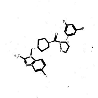 Cc1nc2cc(F)ccc2n1C[C@H]1CC[C@H](C(=O)N2OCC[C@H]2c2cc(F)cc(F)c2)CC1